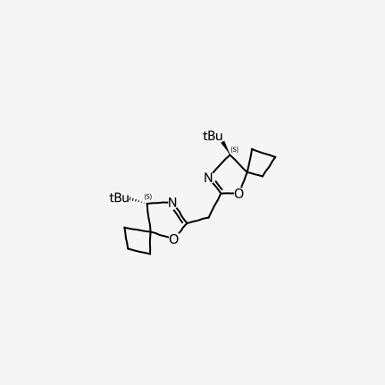 CC(C)(C)[C@@H]1N=C(CC2=N[C@@H](C(C)(C)C)C3(CCC3)O2)OC12CCC2